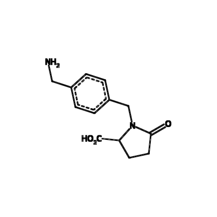 NCc1ccc(CN2C(=O)CCC2C(=O)O)cc1